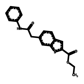 CCOC(=O)c1cc2ccc(CC(=O)Nc3ccccc3)cc2s1